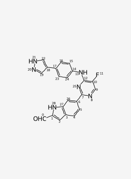 O=Cc1cc2ccc(-c3ncc(F)c(Nc4ccc(-c5cn[nH]c5)cc4)n3)cc2[nH]1